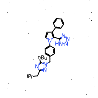 CCCCc1nc(CC(C)C)nn1Cc1ccc(-n2ccc(-c3ccccc3)c2-c2nnn[nH]2)cc1